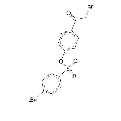 CC(C)(C)c1ccc(S(=O)(=O)Oc2ccc(C(=O)CBr)cc2)cc1